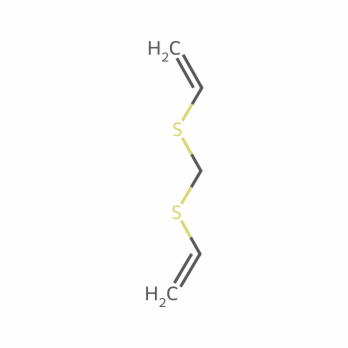 C=CSCSC=C